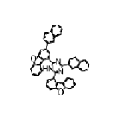 c1ccc2cc(C3=NC(c4cc(-c5ccc6ccccc6c5)cc5oc6ccccc6c45)NC(c4cccc5oc6ccccc6c45)=N3)ccc2c1